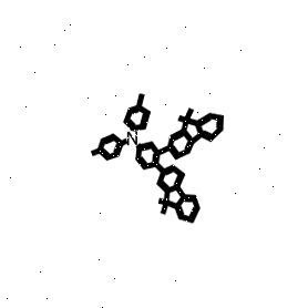 Cc1ccc(N(c2ccc(C)cc2)c2ccc(-c3ccc4c(c3)C(C)(C)c3ccccc3-4)c(-c3ccc4c(c3)C(C)(C)c3ccccc3-4)c2)cc1